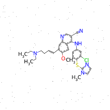 CCN(CC)CCC=Cc1cc2ncc(C#N)c(Nc3ccc(Sc4nccn4C)c(Cl)c3)c2cc1OC